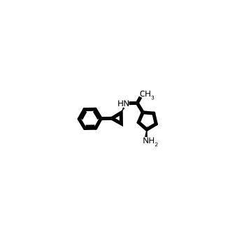 CC(N[C@@H]1CC1c1ccccc1)C1CC[C@@H](N)C1